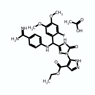 CC(=O)O.CCOC(=O)c1cn[nH]c1-n1nc(C(Nc2ccc(C(=N)N)cc2)c2cc(OC)c(OC)cc2F)[nH]c1=O